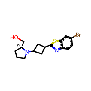 OC[C@@H]1CCCN1C1CC(c2nc3ccc(Br)cc3s2)C1